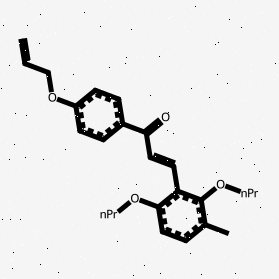 C=CCOc1ccc(C(=O)C=Cc2c(OCCC)ccc(C)c2OCCC)cc1